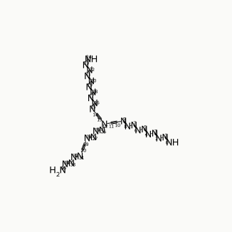 N=N/N=N/N=N/N=N/N=N/C#CN(C#C/N=N/N=N/N=N/N=N/N=N)/N=N/N=N/C#C/N=N/N=N/N